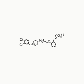 O=C(O)CCc1ccccc1OCCCNC1CCN(Cc2ccc(Cl)c(Cl)c2)CC1